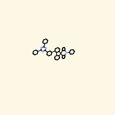 c1ccc(-c2nc(-c3ccccc3)nc(-c3cccc(-c4cccc5c4-c4ccccc4C54c5ccccc5N(c5ccccc5)c5ccccc54)c3)n2)cc1